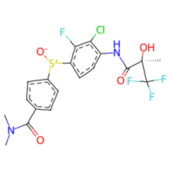 CN(C)C(=O)c1ccc([S+]([O-])c2ccc(NC(=O)[C@@](C)(O)C(F)(F)F)c(Cl)c2F)cc1